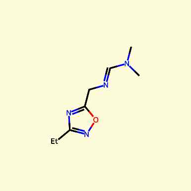 CCc1noc(C/N=C/N(C)C)n1